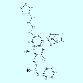 OC(/C=C/c1c(Cl)cc2c(N3CC4CCC(C3)N4)nc(CCCCN3CCCC3)nc2c1F)=C/c1ccccc1